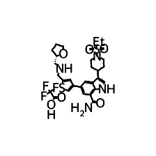 CCS(=O)(=O)N1CCC(c2c[nH]c3c(C(N)=O)cc(-c4csc(CNC[C@@H]5CCCO5)c4)cc23)CC1.O=C(O)C(F)(F)F